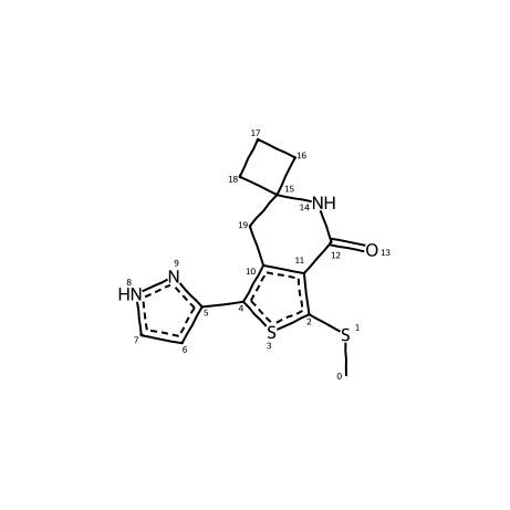 CSc1sc(-c2cc[nH]n2)c2c1C(=O)NC1(CCC1)C2